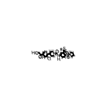 O=C(Nc1ccc(S(=O)(=O)N2CCCC2)c(C(F)(F)F)c1)N1CC=C(c2ncc([C@@H](O)CO)cc2Cl)CC1